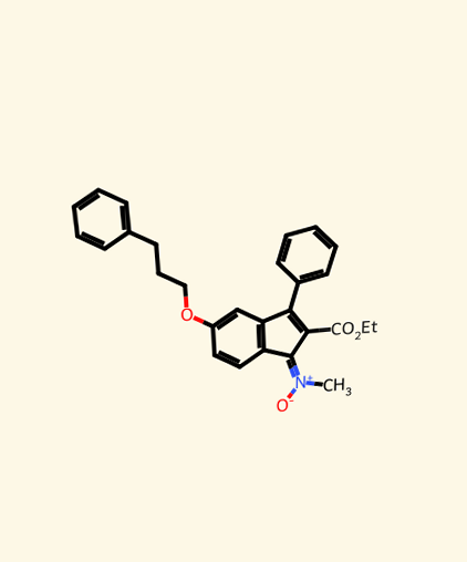 CCOC(=O)C1=C(c2ccccc2)c2cc(OCCCc3ccccc3)ccc2/C1=[N+](/C)[O-]